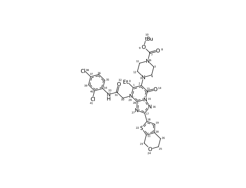 CCc1c(N2CCN(C(=O)OC(C)(C)C)CC2)c(=O)n2nc(-c3cc4c(s3)COCC4)nc2n1CC(=O)Nc1ccc(Cl)cc1Cl